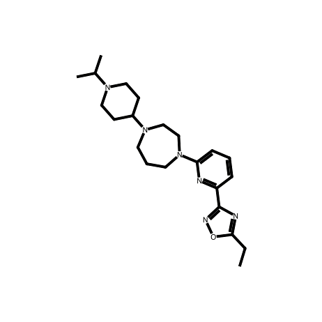 CCc1nc(-c2cccc(N3CCCN(C4CCN(C(C)C)CC4)CC3)n2)no1